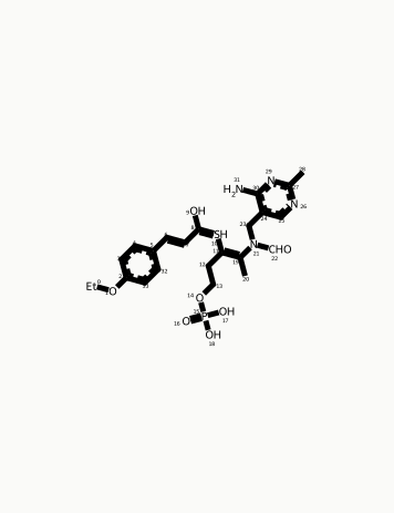 CCOc1ccc(/C=C/C(O)=[SH]\C(CCOP(=O)(O)O)=C(\C)N(C=O)Cc2cnc(C)nc2N)cc1